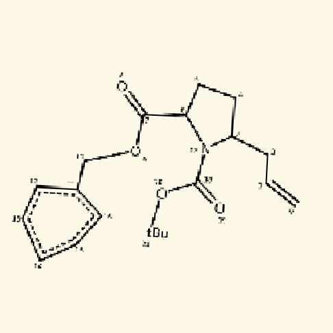 C=CCC1CCC(C(=O)OCc2ccccc2)N1C(=O)OC(C)(C)C